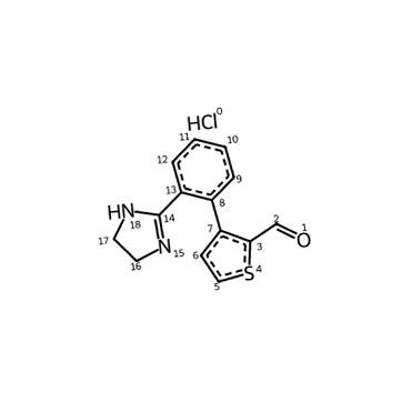 Cl.O=Cc1sccc1-c1ccccc1C1=NCCN1